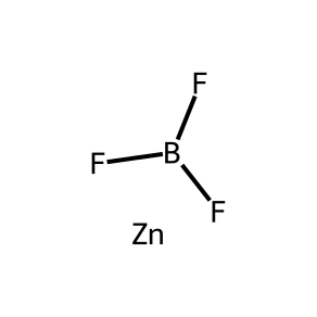 FB(F)F.[Zn]